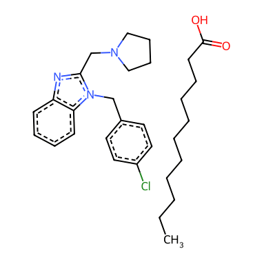 CCCCCCCCCCC(=O)O.Clc1ccc(Cn2c(CN3CCCC3)nc3ccccc32)cc1